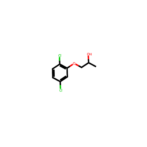 CC(O)COc1cc(Cl)ccc1Cl